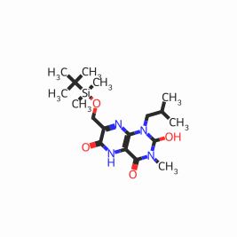 CC(C)CN1c2nc(CO[Si](C)(C)C(C)(C)C)c(=O)[nH]c2C(=O)N(C)C1O